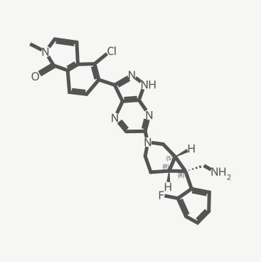 Cn1ccc2c(Cl)c(-c3n[nH]c4nc(N5CC[C@@H]6[C@H](C5)[C@@]6(CN)c5ccccc5F)cnc34)ccc2c1=O